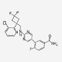 NC(=O)c1ccc(F)c(-c2cnc(NCC3(c4ncccc4Cl)CC(F)(F)C3)nc2)c1